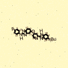 Cn1c(Nc2ccc(F)cc2)nc2cc(Oc3ccnc(-c4nc5cc(C(C)(C)C)ccc5[nH]4)c3)ccc21